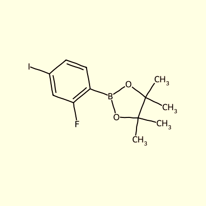 CC1(C)OB(c2ccc(I)cc2F)OC1(C)C